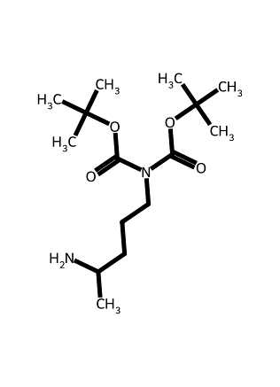 CC(N)CCCN(C(=O)OC(C)(C)C)C(=O)OC(C)(C)C